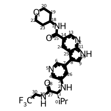 CC(C)[C@@H](Nc1cncc(-c2c[nH]c3ncc(C(=O)NC4CCOCC4)cc23)c1)C(=O)NCC(F)(F)F